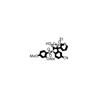 CCOc1ncccc1C1(NC(=O)O)C(=O)N(S(=O)(=O)c2ccc(OC)cc2OC)c2ccc(C#N)cc21